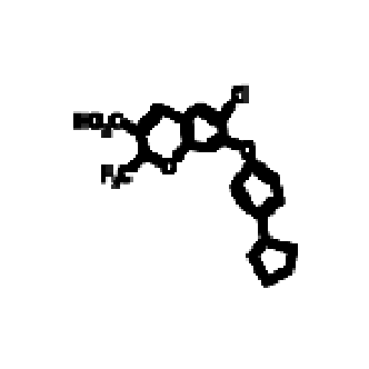 O=C(O)C1=Cc2cc(Cl)c(Oc3ccc(C4CCCC4)cc3)cc2OC1C(F)(F)F